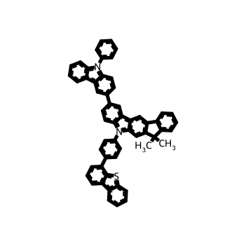 CC1(C)c2ccccc2-c2cc3c4cc(-c5ccc6c(c5)c5ccccc5n6-c5ccccc5)ccc4n(-c4ccc(-c5cccc6c5sc5ccccc56)cc4)c3cc21